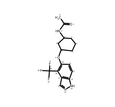 CC(=O)NC1CCCC(Oc2ccc3[nH]ncc3c2C(F)(F)F)C1